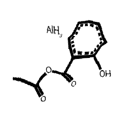 CC(=O)OC(=O)c1ccccc1O.[AlH3]